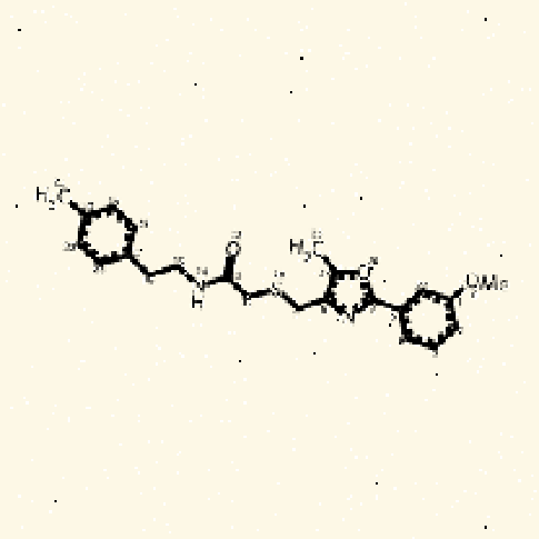 COc1cccc(-c2nc(CSCC(=O)NCCc3ccc(C)cc3)c(C)o2)c1